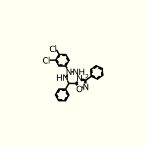 NN(NC(c1ccccc1)c1nc(-c2ccccc2)no1)c1ccc(Cl)c(Cl)c1